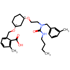 CCCCNC(=O)N(CCO[C@H]1CCC[C@@H](OCc2cccc(C)c2C(=O)O)C1)Cc1cccc(C)c1